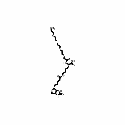 NCCOCCOCCOCCOCC(=O)N[C@@H](CCCCNC(=O)CCCC[C@@H]1SCC2NC(=O)NC21)C(=O)O